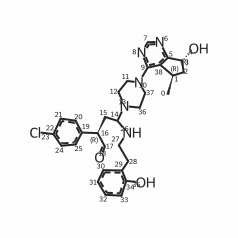 C[C@@H]1C[C@@H](O)c2ncnc(N3CCN(C(C[C@@H](C=O)c4ccc(Cl)cc4)NCCc4ccccc4O)CC3)c21